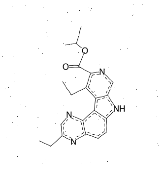 CCc1cnc2c(ccc3[nH]c4cnc(C(=O)OC(C)C)c(CC)c4c32)n1